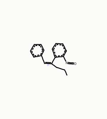 CCC/C(=C/c1ccccc1)c1ccccc1N=O